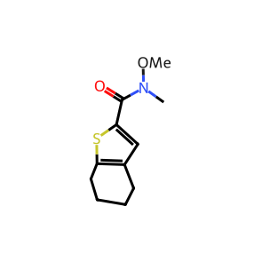 CON(C)C(=O)c1cc2c(s1)CCCC2